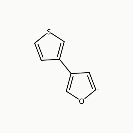 [c]1cc(-c2ccsc2)co1